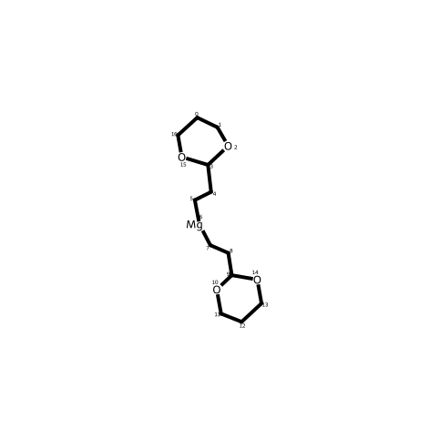 C1COC(C[CH2][Mg][CH2]CC2OCCCO2)OC1